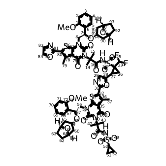 COc1ccccc1[C@H](Cn1c(=O)n(C(C)(C)C(=O)NS(=O)(=O)C2(C(F)F)CC2c2cnc(-c3sc4c(c3C)c(=O)n(C(C)(C)C(=O)NS(=O)(=O)C3CC3)c(=O)n4C[C@H](O[C@@H]3C[C@H]4CC[C@@H](C3)O4)c3ccccc3OC)o2)c(=O)c2c(C)c(-c3ncco3)sc21)O[C@@H]1C[C@H]2CC[C@@H](C1)O2